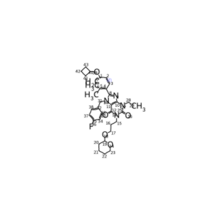 C=C(/C=C\C(=C(C)C)c1nc2c(c(=O)n(CCCOC3CCCCO3)c(=O)n2CC)n1Cc1ccc(F)cc1)OC1CCC1